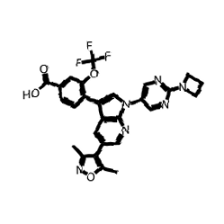 Cc1noc(C)c1-c1cnc2c(c1)c(-c1ccc(C(=O)O)cc1OC(F)(F)F)cn2-c1cnc(N2CCC2)nc1